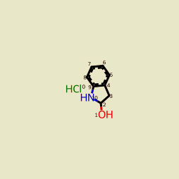 Cl.OC1Cc2ccccc2N1